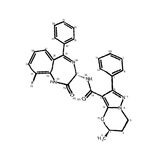 C[C@@H]1CCn2nc(-c3ccccc3)c(C(=O)N[C@H]3N=C(c4ccccc4)c4cccc(F)c4NC3=O)c2O1